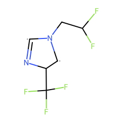 FC(F)CN1[C]=NC(C(F)(F)F)[CH]1